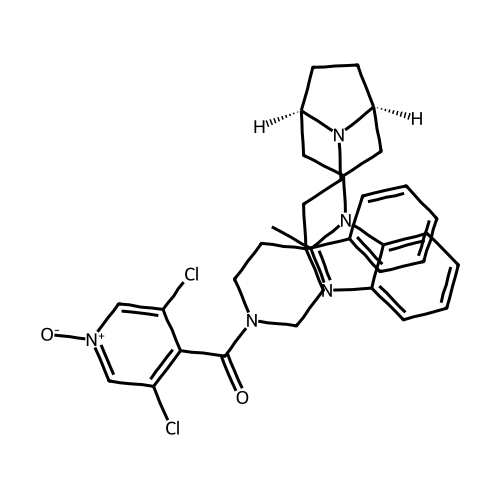 Cc1nc2ccccc2n1C1C[C@H]2CC[C@@H](C1)N2CCC1(c2ccccc2)CCN(C(=O)c2c(Cl)c[n+]([O-])cc2Cl)CC1